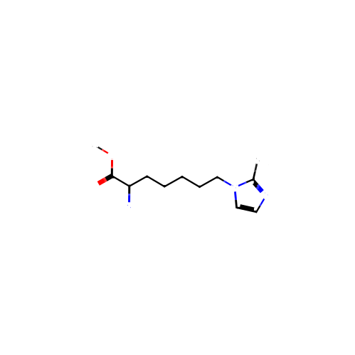 CC(C)(C)OC(=O)C(N)CCCCCn1ccnc1[N+](=O)[O-]